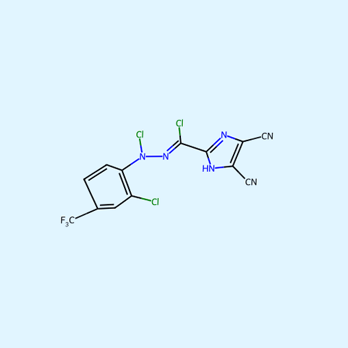 N#Cc1nc(C(Cl)=NN(Cl)c2ccc(C(F)(F)F)cc2Cl)[nH]c1C#N